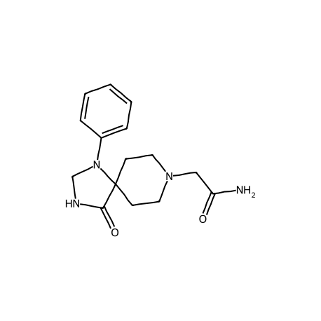 NC(=O)CN1CCC2(CC1)C(=O)NCN2c1ccccc1